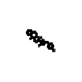 CN1C(=O)[C@@H](NC(=O)c2nn(Cc3ccc(Cl)cn3)cc2F)COc2ccccc21